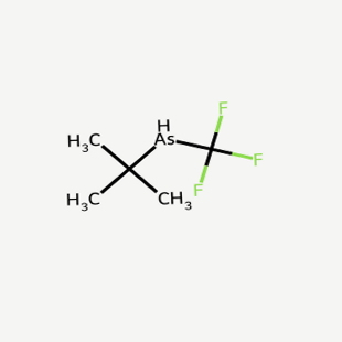 CC(C)(C)[AsH]C(F)(F)F